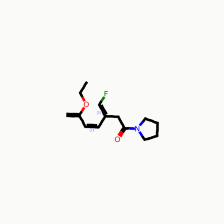 C=C(/C=C\C(=C\F)CC(=O)N1CCCC1)OCC